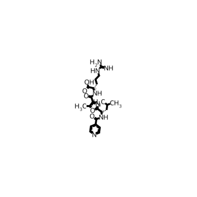 Cc1oc([C@H](CC(C)C)NC(=O)c2ccncc2)nc1C(=O)N[C@@H](CCCNC(=N)N)C(=O)O